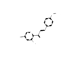 COc1ccc(C=CC(=O)c2ncc(Cl)cc2O)cc1